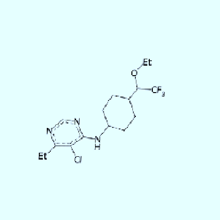 CCOC(C1CCC(Nc2ncnc(CC)c2Cl)CC1)C(F)(F)F